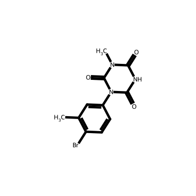 Cc1cc(-n2c(=O)[nH]c(=O)n(C)c2=O)ccc1Br